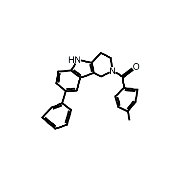 Cc1ccc(C(=O)N2CCc3[nH]c4ccc(-c5ccccc5)cc4c3C2)cc1